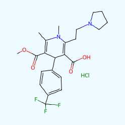 COC(=O)C1=C(C)N(C)C(CCN2CCCC2)=C(C(=O)O)C1c1ccc(C(F)(F)F)cc1.Cl